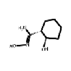 N/C(=N\O)[C@@H]1CCCC[C@H]1O